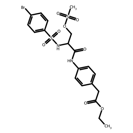 CCOC(=O)Cc1ccc(NC(=O)C(COS(C)(=O)=O)NS(=O)(=O)c2ccc(Br)cc2)cc1